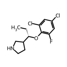 CC[C@H](Oc1c(F)cc(Cl)cc1Cl)C1CCNC1